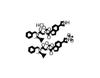 C[C@@H](C1CC1)N(Cc1ccccc1)C(=O)CN1C(=O)O[C@@]2(CCc3cc(C4CN(S(C)(=O)=O)C4)ccc32)C1=O.C[C@@H](C1CC1)N(Cc1ccccc1)C(=O)CN1C(=O)O[C@@]2(CCc3cc(C4CNC4)ccc32)C1=O.Cl